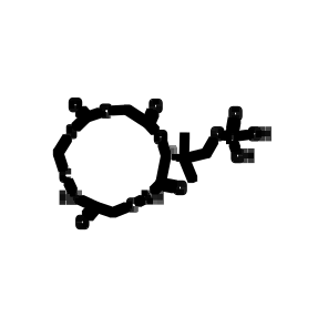 CC(C)(COP(=O)(O)O)[C@H]1OC(=O)CCC(=O)SCCNC(=O)CCNC1=O